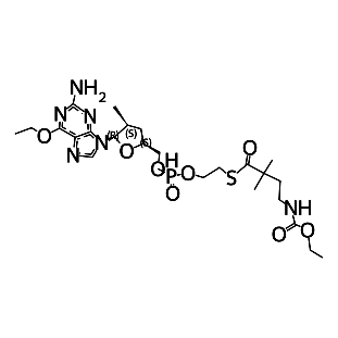 CCOC(=O)NCCC(C)(C)C(=O)SCCO[PH](=O)OC[C@@H]1C[C@H](C)[C@H](n2cnc3c(OCC)nc(N)nc32)O1